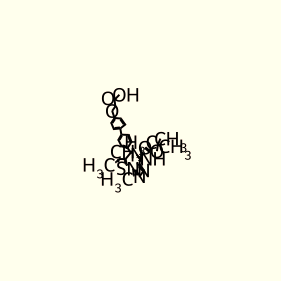 Cc1sc2c(c1C)C(c1ccc(-c3ccc(OCC(=O)O)cc3)cc1)=NC(NC(=O)OC(C)(C)C)c1nnc(C)n1-2